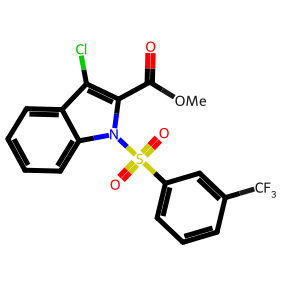 COC(=O)c1c(Cl)c2ccccc2n1S(=O)(=O)c1cccc(C(F)(F)F)c1